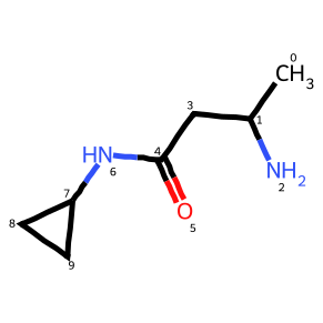 CC(N)CC(=O)NC1CC1